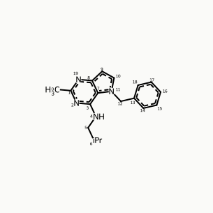 Cc1nc(NCC(C)C)c2c(ccn2Cc2ccccc2)n1